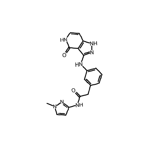 Cn1ccc(NC(=O)Cc2cccc(Nc3n[nH]c4cc[nH]c(=O)c34)c2)n1